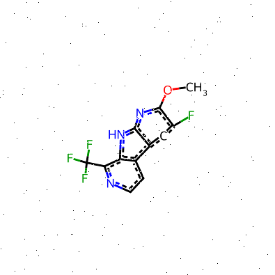 COc1nc2[nH]c3c(C(F)(F)F)nccc3c2cc1F